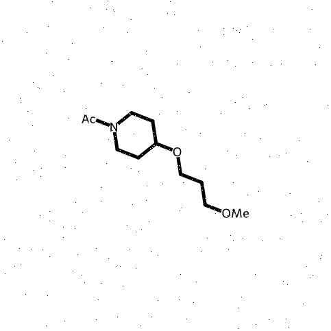 COCCCOC1CCN(C(C)=O)CC1